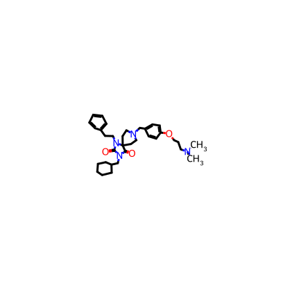 CN(C)CCCOc1ccc(CN2CCC3(CC2)C(=O)N(CC2CCCCC2)C(=O)N3CCc2ccccc2)cc1